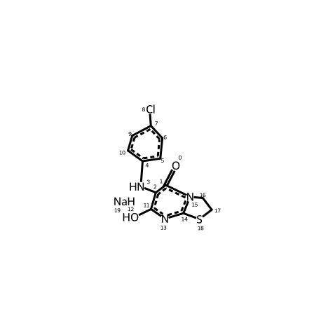 O=c1c(Nc2ccc(Cl)cc2)c(O)nc2n1CCS2.[NaH]